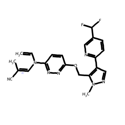 C=CN(/C=C(\C)C#N)c1ccc(OCc2c(-c3ccc(C(F)F)cn3)cnn2C)nn1